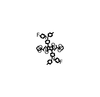 Cc1ccc(N(c2ccc(F)cc2)c2ccc(C3=C4C(=O)N(CC(C)C5OCCCO5)C(c5ccc(N(c6ccc(C)cc6)c6ccc(F)cc6)cc5)=C4C(=O)N3CC(C)C3OCCCO3)cc2)cc1